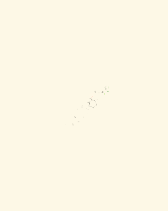 CCCC1CCC(C2CCC(c3ccc4c(c3)OCC(C(F)(F)C(F)(F)F)C4)CC2)CC1